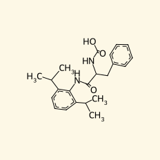 CC(C)c1cccc(C(C)C)c1NC(=O)C(Cc1ccccc1)NC(=O)O